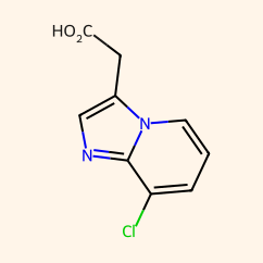 O=C(O)Cc1cnc2c(Cl)cccn12